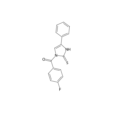 O=C(c1ccc(F)cc1)n1cc(-c2ccccc2)[nH]c1=S